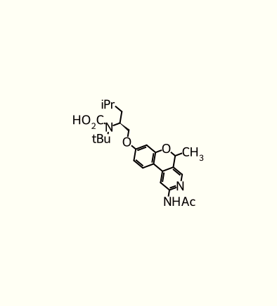 CC(=O)Nc1cc2c(cn1)C(C)Oc1cc(OC[C@H](CC(C)C)N(C(=O)O)C(C)(C)C)ccc1-2